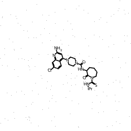 CC(C)NC(=S)N1CCCCC(NC(=O)N2CCN(c3cc(N)nc4cc(Cl)ccc34)CC2)C1=O